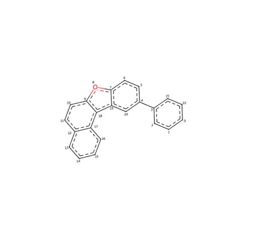 c1ccc(-c2ccc3oc4ccc5ccccc5c4c3c2)cc1